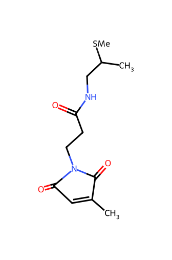 CSC(C)CNC(=O)CCN1C(=O)C=C(C)C1=O